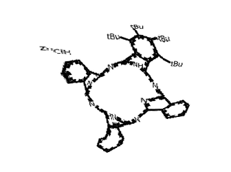 CC(C)(C)c1c(C(C)(C)C)c(C(C)(C)C)c2c3nc4nc(nc5[nH]c(nc6nc(nc([nH]3)c2c1C(C)(C)C)-c1ccccc1-6)c1ccccc51)-c1ccccc1-4.Cl.[Zn]